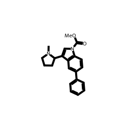 COC(=O)n1cc(C2CCCN2C)c2cc(-c3ccccc3)ccc21